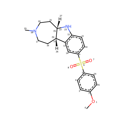 COc1ccc(S(=O)(=O)c2ccc3c(c2)[C@@H]2CCN(C)CC[C@@H]2N3)cc1